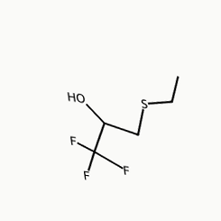 CCSCC(O)C(F)(F)F